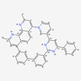 Cc1ccc2ccc3c(-c4cccc(-c5cccc(-c6nc(-c7ccccc7)cc(-c7cccnc7)n6)c5)c4)cc(C)nc3c2n1